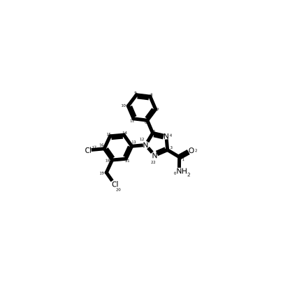 NC(=O)c1nc(-c2ccccc2)n(-c2ccc(Cl)c(CCl)c2)n1